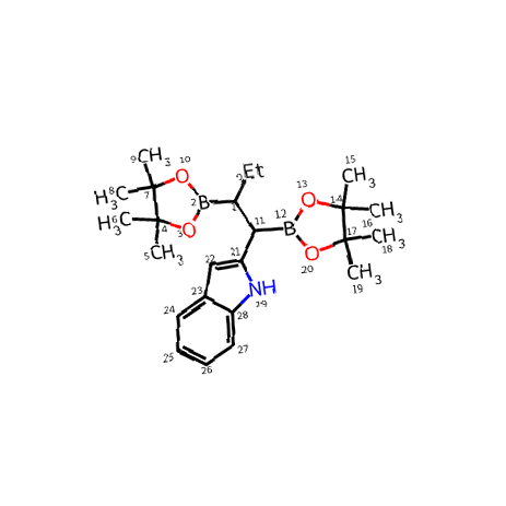 CCC(B1OC(C)(C)C(C)(C)O1)C(B1OC(C)(C)C(C)(C)O1)c1cc2ccccc2[nH]1